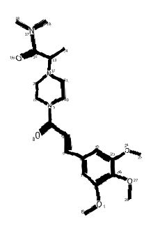 COc1cc(/C=C/C(=O)N2CCN(C(C)C(=O)N(C)C)CC2)cc(OC)c1OC